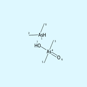 C[AsH]C.C[As](C)(=O)O